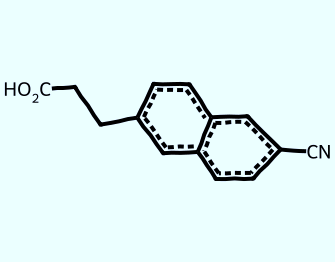 N#Cc1ccc2cc(CCC(=O)O)ccc2c1